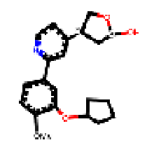 COc1ccc(-c2cc([C@H]3COB(O)C3)ccn2)cc1OC1CCCC1